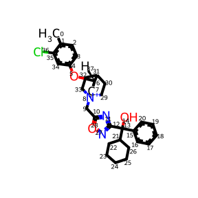 Cc1ccc(O[C@H]2C[N+]3(Cc4nc(C(O)(c5ccccc5)C5CCCCC5)no4)CCC2CC3)cc1Cl